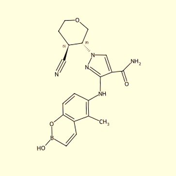 Cc1c(Nc2nn([C@H]3COCC[C@@H]3C#N)cc2C(N)=O)ccc2c1C=CB(O)O2